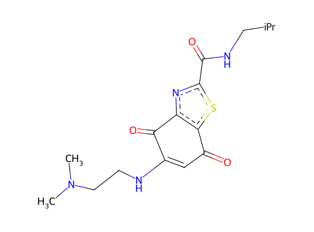 CC(C)CNC(=O)c1nc2c(s1)C(=O)C=C(NCCN(C)C)C2=O